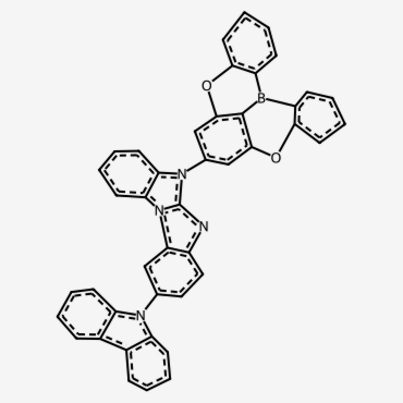 c1ccc2c(c1)Oc1cc(-n3c4ccccc4n4c5cc(-n6c7ccccc7c7ccccc76)ccc5nc34)cc3c1B2c1ccccc1O3